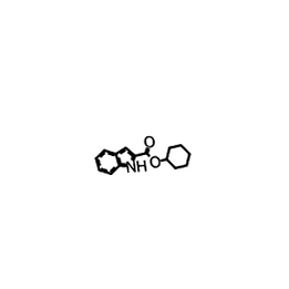 O=C(OC1CCCCC1)c1cc2ccccc2[nH]1